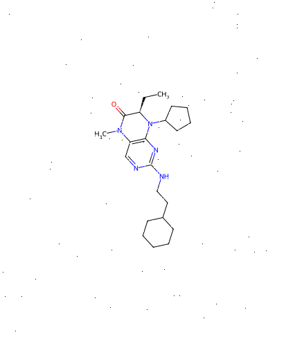 CC[C@@H]1C(=O)N(C)c2cnc(NCCC3CCCCC3)nc2N1C1CCCC1